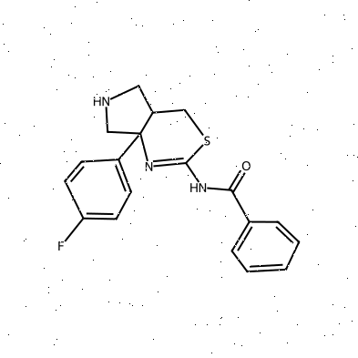 O=C(NC1=NC2(c3ccc(F)cc3)CNCC2CS1)c1ccccc1